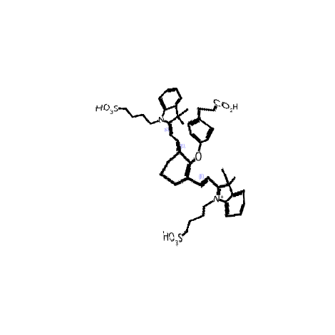 CC1(C)C(/C=C/C2=C(Oc3ccc(CCC(=O)O)cc3)C(=C/C=C3/N(CCCCS(=O)(=O)O)c4ccccc4C3(C)C)/CCC2)=[N+](CCCCS(=O)(=O)O)c2ccccc21